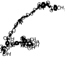 CN[C@H]1C(O)C(O)[C@@H](O)C(O)C1c1cc2c(c(OCc3ccc(OS(=O)Oc4cc(C(=O)NCCOCCOCCOCCn5cc(COCCOCCOCCOCCNC(=O)c6ccc(C(=O)CC[S+]([O-])c7ccc(C)cc7)cc6)nn5)ccc4OC4CC(O)C(O)C(CO)O4)cc3)c1C=O)OCO2